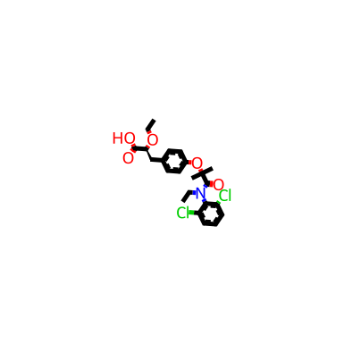 CCO[C@@H](Cc1ccc(OC(C)(C)C(=O)N(CC)c2c(Cl)cccc2Cl)cc1)C(=O)O